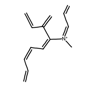 C=C\C=C/C=C(C(=C)C=C)/[N+](C)=C\C=C